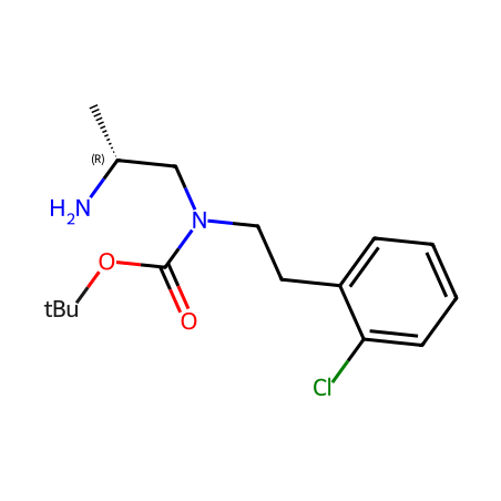 C[C@@H](N)CN(CCc1ccccc1Cl)C(=O)OC(C)(C)C